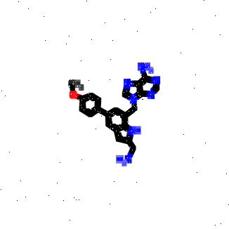 COc1ccc(-c2cc(Cn3cnc4c(N)ncnc43)c3[nH]c(CN)cc3c2)cc1